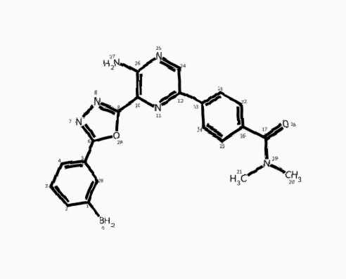 Bc1cccc(-c2nnc(-c3nc(-c4ccc(C(=O)N(C)C)cc4)cnc3N)o2)c1